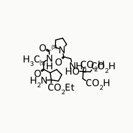 CCOC(=O)C1(N)CCCC1C(=O)[C@H](C)NC(=O)[C@@H]1CCCN1C(=O)CN.O=C(O)CC(O)(CC(=O)O)C(=O)O